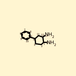 NC1CCC(c2ccccc2)CC1N